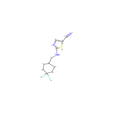 N#Cc1cnc(NCC2CCC(F)(F)CC2)s1